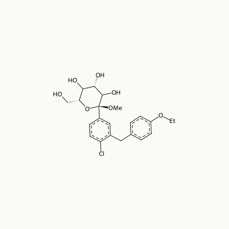 CCOc1ccc(Cc2cc([C@]3(OC)O[C@H](CO)C(O)[C@H](O)C3O)ccc2Cl)cc1